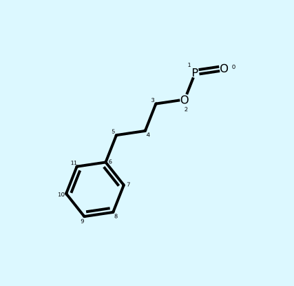 O=POCCCc1ccccc1